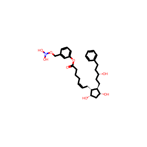 O=C(CCC/C=C\C[C@@H]1[C@@H](CC[C@@H](O)CCc2ccccc2)[C@H](O)C[C@@H]1O)Oc1cccc(CON(O)O)c1